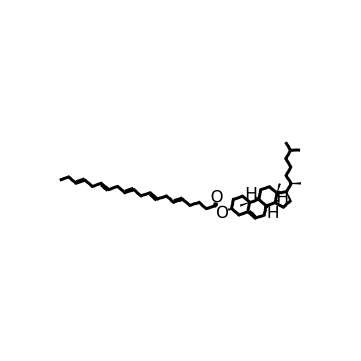 CCC=CCC=CCC=CCC=CCC=CCCCC(=O)O[C@H]1CC[C@@]2(C)C(=CC[C@H]3[C@@H]4CC[C@H]([C@H](C)CCCC(C)C)[C@@]4(C)CC[C@@H]32)C1